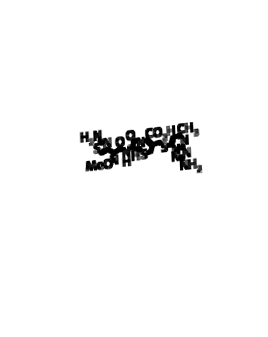 CON=C(C(=O)N[C@@H]1C(=O)N2C(C(=O)O)=C(CSc3cc(C)nc4nc(N)nn34)CS[C@H]12)c1csc(N)n1